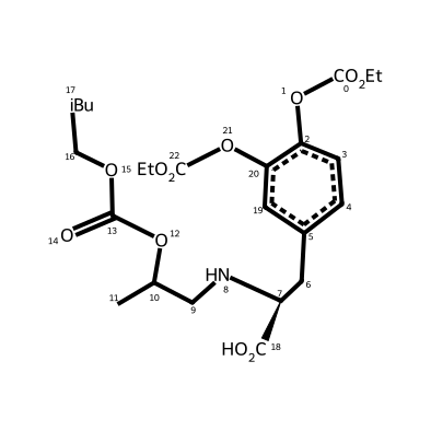 CCOC(=O)Oc1ccc(C[C@H](NCC(C)OC(=O)OCC(C)CC)C(=O)O)cc1OC(=O)OCC